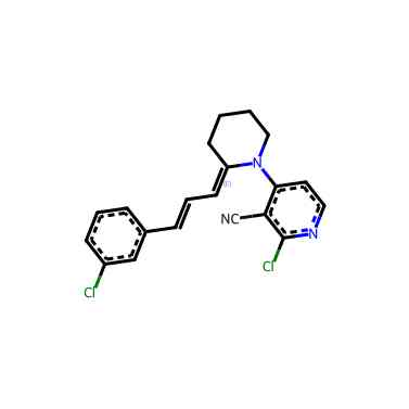 N#Cc1c(N2CCCC/C2=C\C=Cc2cccc(Cl)c2)ccnc1Cl